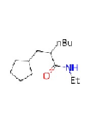 CCCCC(CC1CCCC1)C(=O)NCC